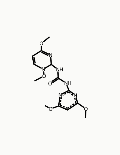 COC1=NC(NC(=O)Nc2nc(OC)cc(OC)n2)N(OC)C=C1